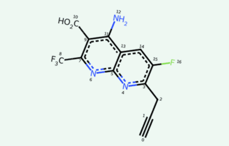 C#CCc1nc2nc(C(F)(F)F)c(C(=O)O)c(N)c2cc1F